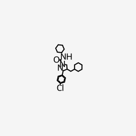 O=C(NC1CCCCC1)N1CC(CC2CCCCC2)C(c2ccc(Cl)cc2)=N1